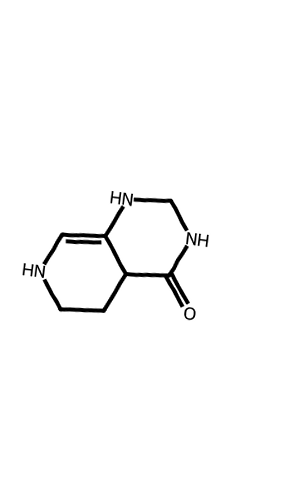 O=C1NCNC2=CNCCC12